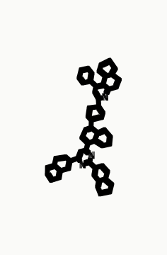 c1ccc(-c2cc(-c3ccc(-c4ccc(-c5cc(-c6ccc7ccccc7c6)nc(-c6ccc7ccccc7c6)n5)c5ccccc45)cc3)nc3ccc4ccccc4c23)cc1